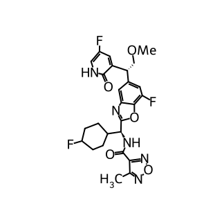 COC[C@H](c1cc(F)c2oc([C@@H](NC(=O)c3nonc3C)C3CCC(F)CC3)nc2c1)c1cc(F)c[nH]c1=O